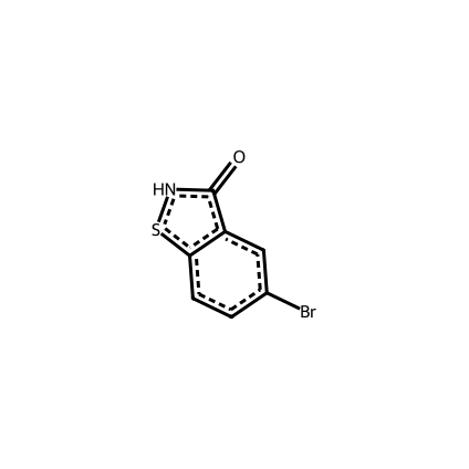 O=c1[nH]sc2ccc(Br)cc12